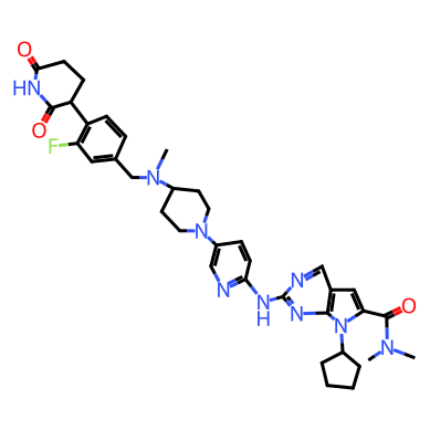 CN(C)C(=O)c1cc2cnc(Nc3ccc(N4CCC(N(C)Cc5ccc(C6CCC(=O)NC6=O)c(F)c5)CC4)cn3)nc2n1C1CCCC1